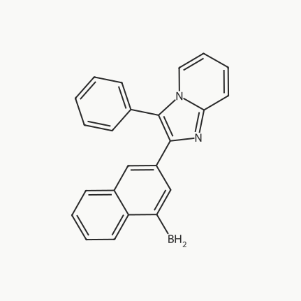 Bc1cc(-c2nc3ccccn3c2-c2ccccc2)cc2ccccc12